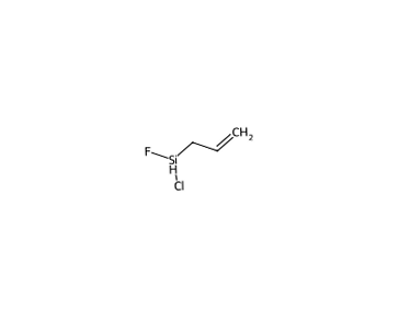 C=CC[SiH](F)Cl